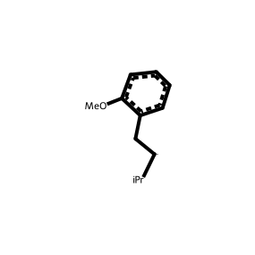 COc1ccccc1C[CH]C(C)C